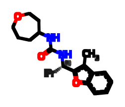 Cc1c([C@@H](NC(=O)NC2CCCOCC2)C(C)C)oc2ccccc12